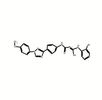 CC(C)c1ccccc1N/C(S)=N/C(=O)Nc1ccc(-c2ncn(-c3ccc(OC(F)(F)F)cc3)n2)cc1